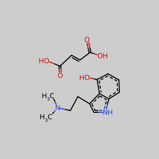 CN(C)CCc1c[nH]c2cccc(O)c12.O=C(O)/C=C/C(=O)O